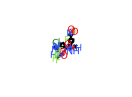 CC(C)(C)C[C@]1(c2ccc(-c3cnn(S(C)(=O)=O)c3)c(F)c2)NC(=N)N([C@H](COC(=O)NCC(F)(F)F)c2ccc(Cl)c(-n3ncnc3C(F)F)c2)C1=O